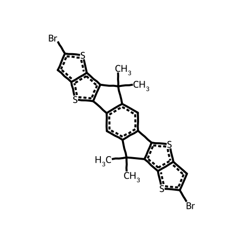 CC1(C)c2cc3c(cc2-c2sc4cc(Br)sc4c21)C(C)(C)c1c-3sc2cc(Br)sc12